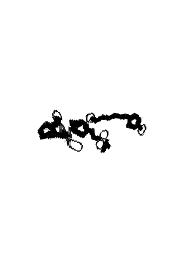 COc1ccc(/C=C/CCCCOc2ccc(N3C(=O)c4ccccc4C3=O)cc2CCC(=O)OC(C)(C)C)cc1